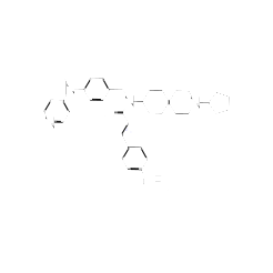 CN(c1ccncc1)c1ccc(CN(C(=O)/C=C/c2ccc(C(F)(F)F)cc2)C2CCC3(CC2)CCN(C2CCCC2)CC3)cc1